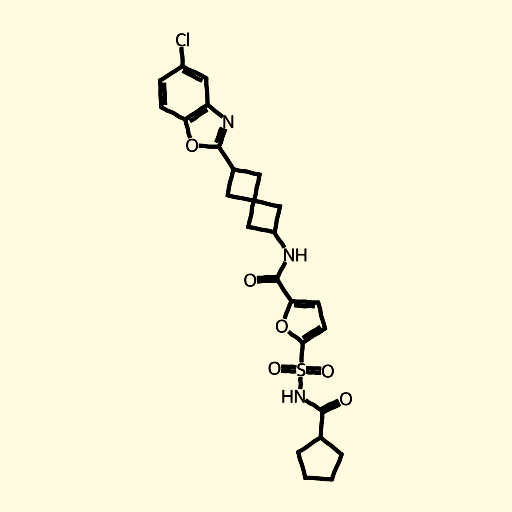 O=C(NC1CC2(C1)CC(c1nc3cc(Cl)ccc3o1)C2)c1ccc(S(=O)(=O)NC(=O)C2CCCC2)o1